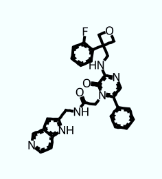 O=C(Cn1c(-c2ccccc2)cnc(NCC2(c3ccccc3F)COC2)c1=O)NCc1cc2cnccc2[nH]1